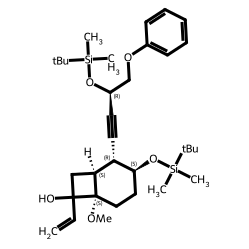 C=CC1(O)C[C@H]2[C@H](C#C[C@H](COc3ccccc3)O[Si](C)(C)C(C)(C)C)[C@@H](O[Si](C)(C)C(C)(C)C)CC[C@]21OC